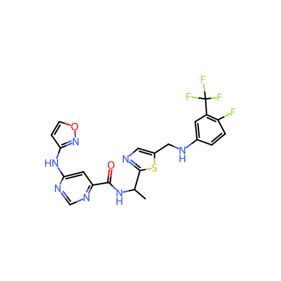 CC(NC(=O)c1cc(Nc2ccon2)ncn1)c1ncc(CNc2ccc(F)c(C(F)(F)F)c2)s1